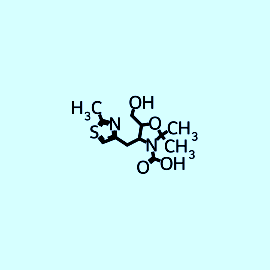 Cc1nc(CC2C(CO)OC(C)(C)N2C(=O)O)cs1